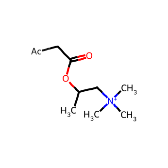 CC(=O)CC(=O)OC(C)C[N+](C)(C)C